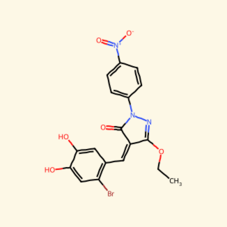 CCOC1=NN(c2ccc([N+](=O)[O-])cc2)C(=O)C1=Cc1cc(O)c(O)cc1Br